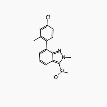 Cc1cc(Cl)ccc1-c1cccc2c([S+](C)[O-])n(C)nc12